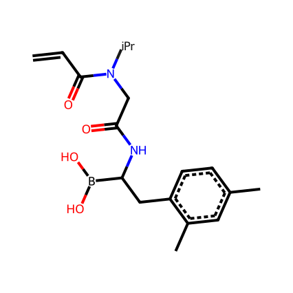 C=CC(=O)N(CC(=O)NC(Cc1ccc(C)cc1C)B(O)O)C(C)C